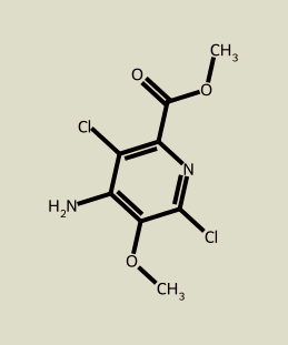 COC(=O)c1nc(Cl)c(OC)c(N)c1Cl